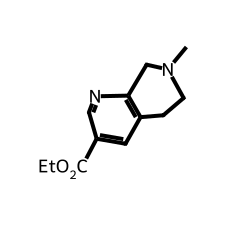 CCOC(=O)c1cnc2c(c1)CCN(C)C2